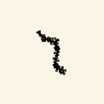 O=C1CCC(N2Cc3cc(CNC(=O)OCCNCc4ccc(-n5cc(NC(=O)c6coc(-c7ccnc(NCC8CC8)c7)n6)c(C(F)F)n5)cc4)ccc3C2=O)C(=O)N1